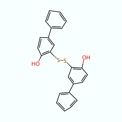 Oc1ccc(-c2ccccc2)cc1SSc1cc(-c2ccccc2)ccc1O